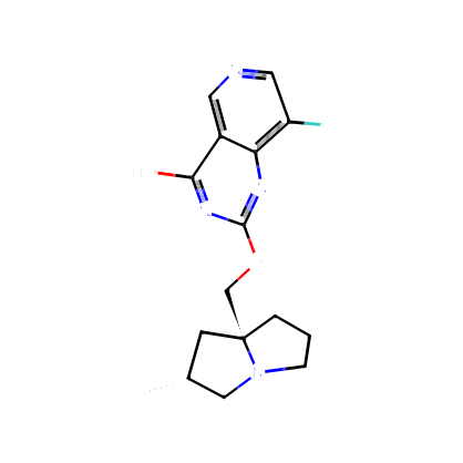 Oc1nc(OC[C@@]23CCCN2C[C@H](F)C3)nc2c(F)cncc12